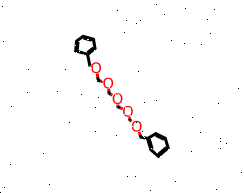 c1ccc(COCOCOCOCOCc2ccccc2)cc1